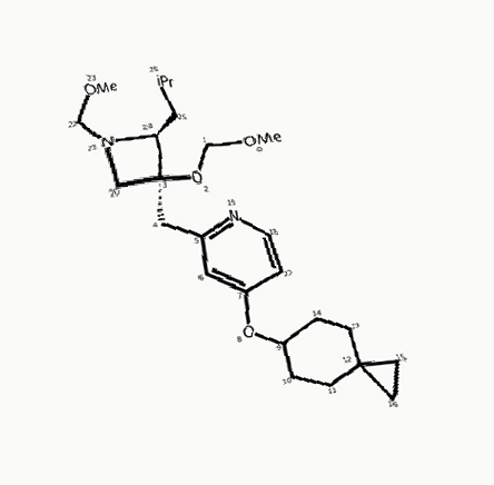 COCO[C@@]1(Cc2cc(OC3CCC4(CC3)CC4)ccn2)CN(COC)[C@H]1CC(C)C